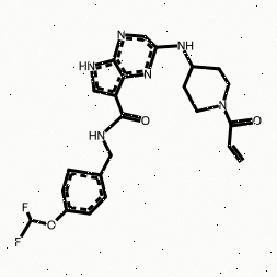 C=CC(=O)N1CCC(Nc2cnc3[nH]cc(C(=O)NCc4ccc(OC(F)F)cc4)c3n2)CC1